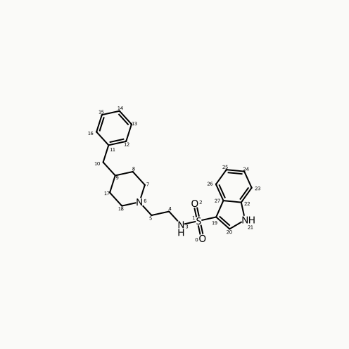 O=S(=O)(NCCN1CCC(Cc2ccccc2)CC1)c1c[nH]c2ccccc12